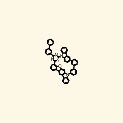 c1ccc(-c2cccc(-c3nc(-c4cccc5c4oc4cc6c(cc45)c4ccccc4n6-c4cccc(-c5ccccc5)c4)nc(-n4c5ccccc5c5ccccc54)n3)c2)cc1